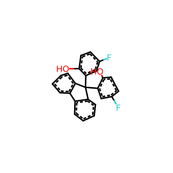 Oc1ccc(F)cc1C1(c2cc(F)ccc2O)c2ccccc2-c2ccccc21